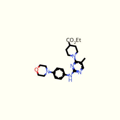 CCOC(=O)C1CCN(c2nc(Nc3ccc(N4CCOCC4)cc3)ncc2C)CC1